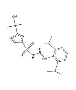 CC(C)c1cccc(C(C)C)c1NC(=O)NS(=O)(=O)c1cnc(C(C)(C)O)s1